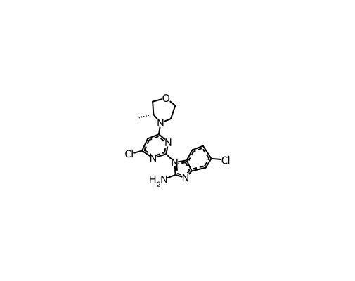 C[C@@H]1COCCN1c1cc(Cl)nc(-n2c(N)nc3cc(Cl)ccc32)n1